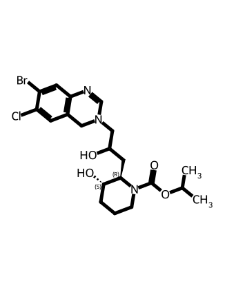 CC(C)OC(=O)N1CCC[C@H](O)[C@H]1CC(O)CN1C=Nc2cc(Br)c(Cl)cc2C1